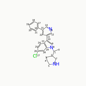 CC(C1CCCNC1)n1cc(-c2cncc(-c3ccccc3)c2)c2ccc(Cl)cc21